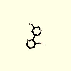 Nc1cccnc1-c1cncc(Cl)c1